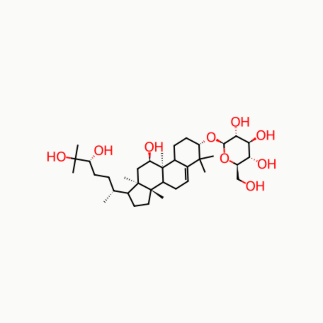 C[C@H](CC[C@@H](O)C(C)(C)O)C1CC[C@@]2(C)C3CC=C4C(CC[C@H](O[C@@H]5O[C@H](CO)[C@@H](O)[C@H](O)[C@H]5O)C4(C)C)[C@]3(C)[C@H](O)C[C@]12C